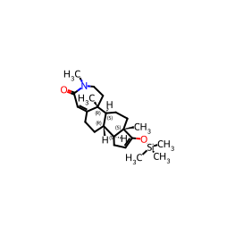 CN1CC[C@@]2(C)C(=CC1=O)CC[C@@H]1[C@@H]2CC[C@]2(C)C(O[Si](C)(C)C)=CC[C@@H]12